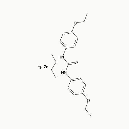 CCCC.CCOc1ccc(NC(=S)Nc2ccc(OCC)cc2)cc1.[Tl].[Zn]